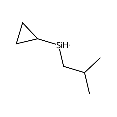 CC(C)C[SiH]C1CC1